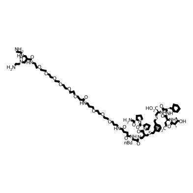 CCCC[C@H](NC(=O)CCC(=O)NCCCOCCOCCOCCCNC(=O)CCOCCOCCOCCOCCOCCOCCNC(=O)C(CNCCN)CNCCN)C(=O)/N=C/C(CSCc1cccc(CSC[C@H](NC(=O)[C@H](Cc2ccccc2)NC(=O)[C@H](CCC(=O)O)NC(=O)[C@@H](C)[C@@H](C)O)C(=O)O)c1)C(=O)N1CCC[C@H]1C(=O)N1CCC[C@H]1C(N)=O